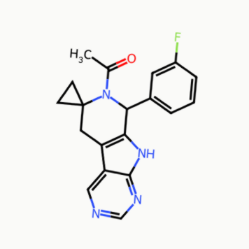 CC(=O)N1C(c2cccc(F)c2)c2[nH]c3ncncc3c2CC12CC2